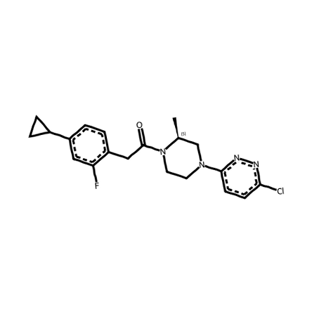 C[C@H]1CN(c2ccc(Cl)nn2)CCN1C(=O)Cc1ccc(C2CC2)cc1F